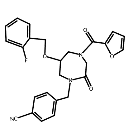 N#Cc1ccc(CN2CC(OCc3ccccc3F)CN(C(=O)c3ccco3)CC2=O)cc1